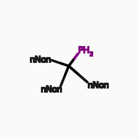 CCCCCCCCCC(P)(CCCCCCCCC)CCCCCCCCC